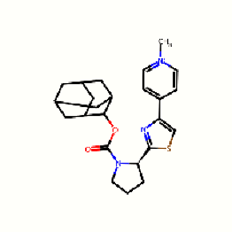 C[n+]1ccc(-c2csc([C@H]3CCCN3C(=O)OC3C4CC5CC(C4)CC3C5)n2)cc1